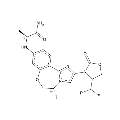 C[C@H](Nc1ccc2c(c1)OC[C@@H](C)n1cc(N3C(=O)OCC3C(F)F)nc1-2)C(N)=O